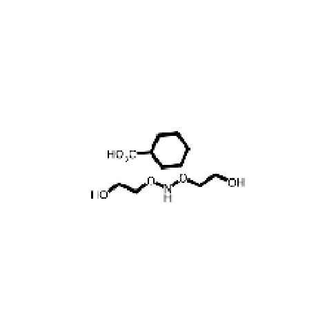 O=C(O)C1CCCCC1.OCCONOCCO